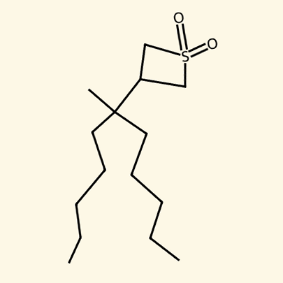 CCCCCC(C)(CCCCC)C1CS(=O)(=O)C1